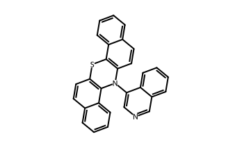 c1ccc2c(N3c4ccc5ccccc5c4Sc4ccc5ccccc5c43)cncc2c1